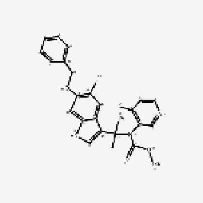 Cc1ccncc1N(C(=O)OC(C)(C)C)C(C)(c1c[nH]c2cc(OCc3ccccc3)c(F)cc12)C(C)C